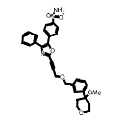 COC1(c2cccc(COCC#Cc3nc(-c4ccccc4)c(-c4ccc(S(N)(=O)=O)cc4)o3)c2)CCOCC1